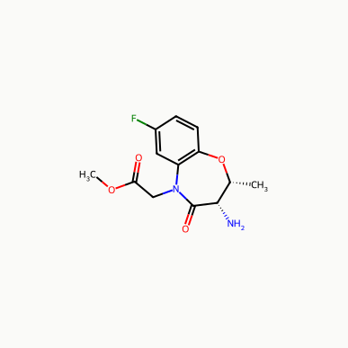 COC(=O)CN1C(=O)[C@@H](N)[C@@H](C)Oc2ccc(F)cc21